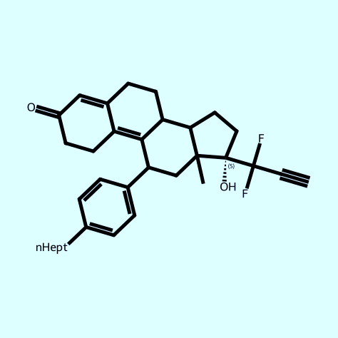 C#CC(F)(F)[C@]1(O)CCC2C3CCC4=CC(=O)CCC4=C3C(c3ccc(CCCCCCC)cc3)CC21C